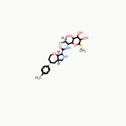 CSC1OC([C@H](NC(=O)[C@H]2NC[C@@H]3C[C@H](c4ccc(C)cc4)CCO[C@H]32)[C@H](C)Cl)C(O)C(O)C1O